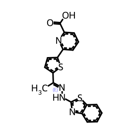 C/C(=N\Nc1nc2ccccc2s1)c1ccc(-c2cccc(C(=O)O)n2)s1